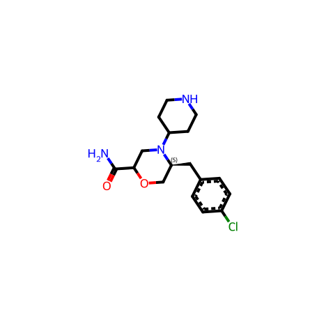 NC(=O)C1CN(C2CCNCC2)[C@@H](Cc2ccc(Cl)cc2)CO1